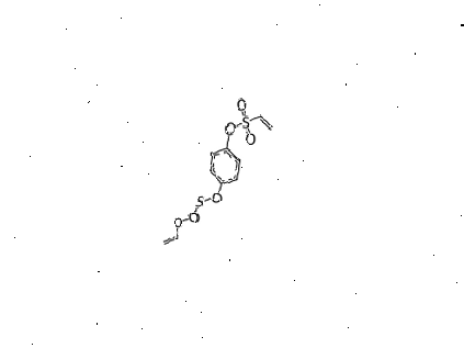 C=COOSOc1ccc(OS(=O)(=O)C=C)cc1